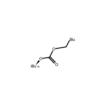 CCC(C)COC(=O)O[C@H](C)CC